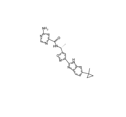 C[C@@H](NC(=O)c1cc(N)ncn1)c1cc(-c2nc3ccc(C4(C)CC4)cc3[nH]2)no1